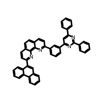 c1ccc(-c2cc(-c3cccc(-c4ccc5ccc6ccc(-c7cc8ccccc8c8ccccc78)nc6c5n4)c3)nc(-c3ccccc3)n2)cc1